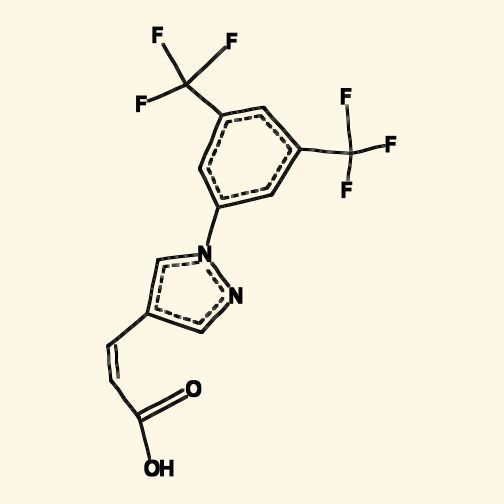 O=C(O)/C=C\c1cnn(-c2cc(C(F)(F)F)cc(C(F)(F)F)c2)c1